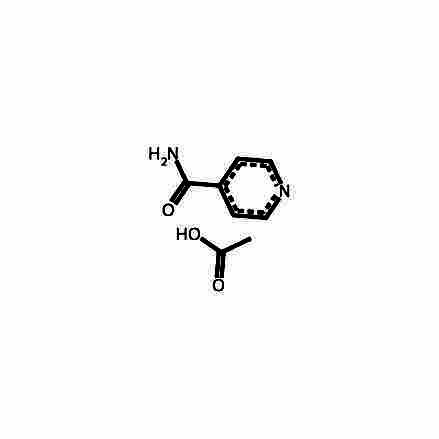 CC(=O)O.NC(=O)c1ccncc1